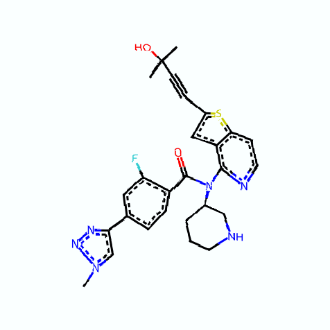 Cn1cc(-c2ccc(C(=O)N(c3nccc4sc(C#CC(C)(C)O)cc34)[C@@H]3CCCNC3)c(F)c2)nn1